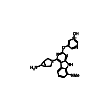 CNc1cccc2c1[nH]c1nc(Oc3cnc[n+](O)c3)nc(N3CC4C(N)C4C3)c12